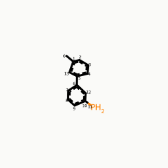 Cc1cccc(-c2cccc(P)c2)c1